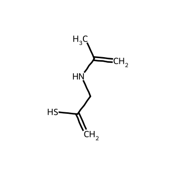 C=C(S)CNC(=C)C